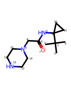 CC(C)(C)C1(NC(=O)CN2CCNCC2)CC1